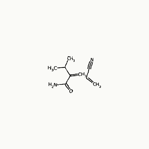 C=C(C(N)=O)C(C)C.C=CC#N